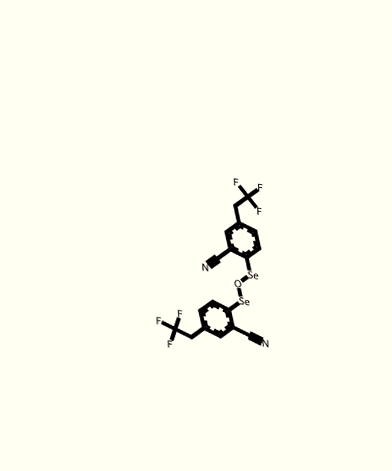 N#Cc1cc(CC(F)(F)F)ccc1[Se]O[Se]c1ccc(CC(F)(F)F)cc1C#N